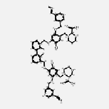 C/N=C/c1cncc(COc2cc(OCc3cccc(-c4cccc(COc5cc(OCc6cncc(C#N)c6)c(CN6CCOC[C@@H]6C(=O)O)cc5Cl)c4C)c3C)c(Cl)cc2CN2CCCO[C@@H]2C(=O)O)c1